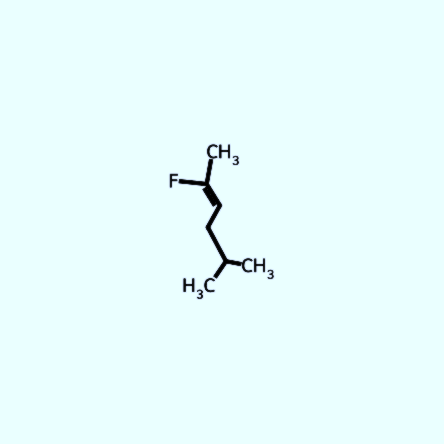 C/C(F)=C/CC(C)C